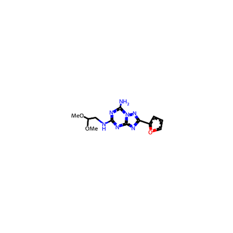 COC(CNc1nc(N)n2nc(-c3ccco3)nc2n1)OC